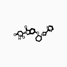 O=C1CCC(N2Cc3cc(O[C@H]4CCCC[C@@H]4N4CC(c5ncccn5)C4)ccc3C2=O)C(=O)N1